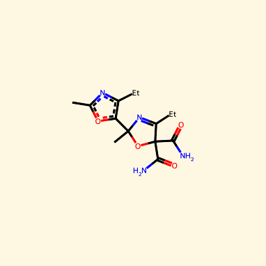 CCC1=NC(C)(c2oc(C)nc2CC)OC1(C(N)=O)C(N)=O